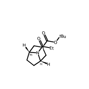 CCC(=O)N1[C@@H]2CC[C@H]1CN(C(=O)OC(C)(C)C)C2